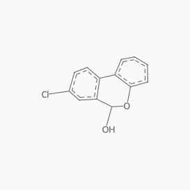 OC1Oc2ccccc2-c2ccc(Cl)cc21